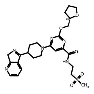 CS(=O)(=O)CCNC(=O)c1cc(N2CCC(C3=NCc4ncccc43)CC2)nc(OC[C@H]2CCCO2)n1